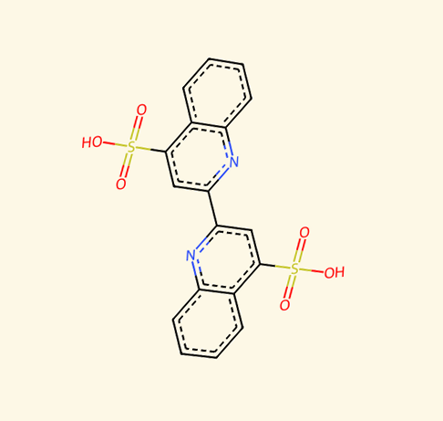 O=S(=O)(O)c1cc(-c2cc(S(=O)(=O)O)c3ccccc3n2)nc2ccccc12